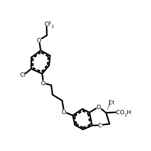 CC[C@]1(C(=O)O)CCc2ccc(OCCCOc3ccc(OCC(F)(F)F)cc3Cl)cc2O1